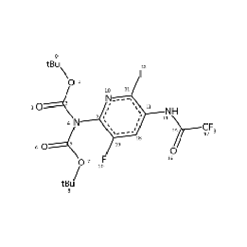 CC(C)(C)OC(=O)N(C(=O)OC(C)(C)C)c1nc(I)c(NC(=O)C(F)(F)F)cc1F